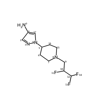 Nc1cnn(C2CCN(CC(F)C(F)F)CC2)c1